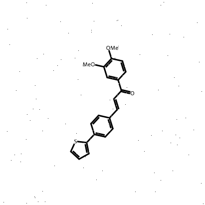 COc1ccc(C(=O)C=Cc2ccc(-c3cccs3)cc2)cc1OC